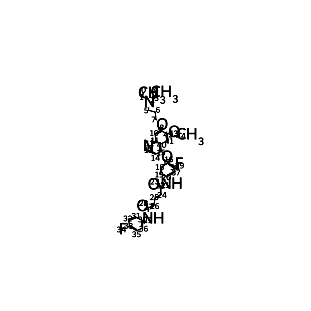 CCN(CC)CCCOc1cc2nccc(Oc3ccc(NC(=O)CCCC(=O)Nc4ccc(F)cc4)cc3F)c2cc1OC